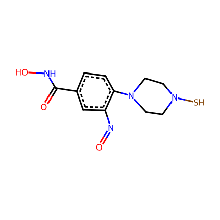 O=Nc1cc(C(=O)NO)ccc1N1CCN(S)CC1